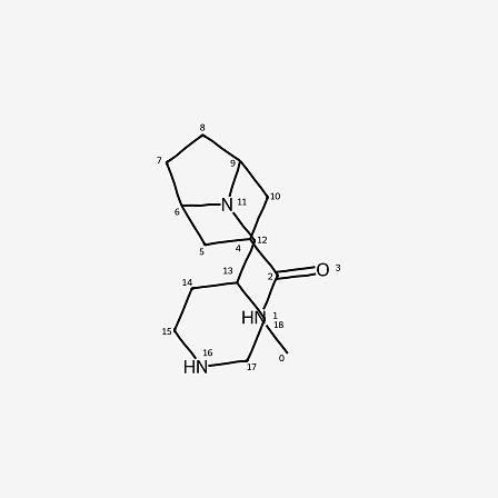 CNC(=O)C1CC2CCC(C1)N2CC1CCNCC1